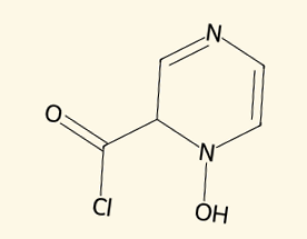 O=C(Cl)C1C=NC=CN1O